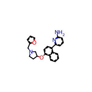 Nc1cccc(-c2ccc(OC3CCN(Cc4ccco4)C3)c3ccccc23)n1